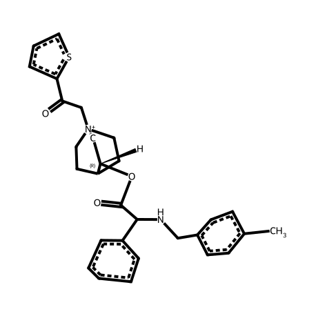 Cc1ccc(CNC(C(=O)O[C@H]2C[N+]3(CC(=O)c4cccs4)CCC2CC3)c2ccccc2)cc1